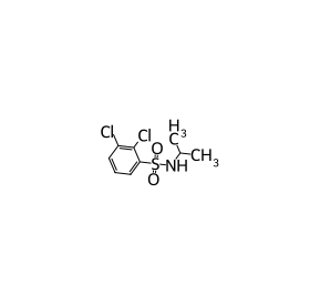 CC(C)NS(=O)(=O)c1cccc(Cl)c1Cl